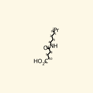 CC(C)CCCCNC(=O)CCCC(=O)O